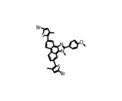 COc1ccc(-c2nc3c4cc(-c5sc(Br)cc5C)ccc4c4ccc(-c5sc(Br)cc5C)cc4c3n2C)cc1